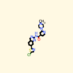 CN1CCN(c2cc(C(=O)Nc3ncc4ccc(-c5ncc(Cl)s5)cc4n3)ccn2)CC1